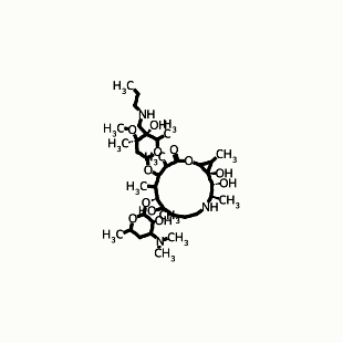 CCCNC[C@]1(O)C(C)OC(OC2C(C)C(=O)OC3C(C)[C@]3(O)[C@H](O)[C@@H](C)NCCC[C@](C)(O)[C@H](OC3OC(C)CC(N(C)C)[C@H]3O)C2C)C[C@@]1(C)OC